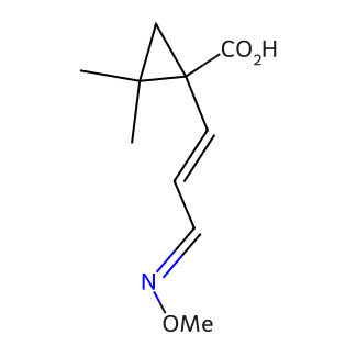 CON=CC=CC1(C(=O)O)CC1(C)C